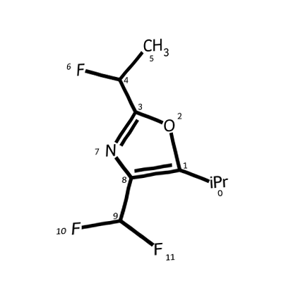 CC(C)c1oc(C(C)F)nc1C(F)F